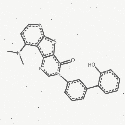 CN(C)c1ccnc2sc3c(=O)n(-c4cccc(-c5ccccc5O)c4)cnc3c12